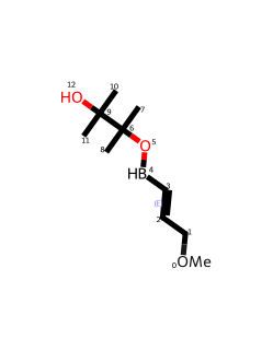 COC/C=C/BOC(C)(C)C(C)(C)O